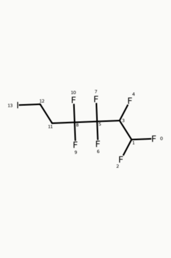 FC(F)C(F)C(F)(F)C(F)(F)CCI